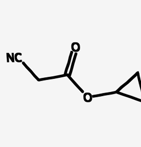 N#CCC(=O)OC1CC1